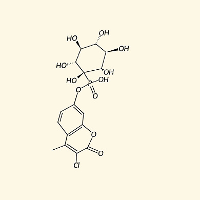 Cc1c(Cl)c(=O)oc2cc(OP(=O)(O)[C@@]3(O)[C@H](O)[C@H](O)[C@@H](O)[C@H](O)[C@H]3O)ccc12